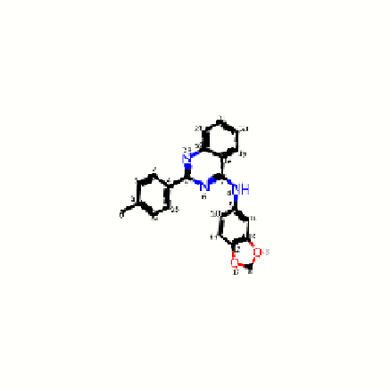 Cc1ccc(-c2nc(Nc3ccc4c(c3)OCO4)c3ccccc3n2)cc1